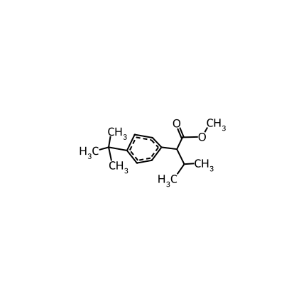 COC(=O)C(c1ccc(C(C)(C)C)cc1)C(C)C